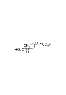 CC(NC1CCC(OCCC(=O)O)CC1)C(=O)O